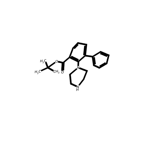 CC(C)(C)OC(=O)c1cccc(-c2ccccc2)c1N1CCNCC1